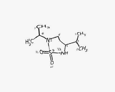 CC(C)C1CN(C(C)C)S(=O)(=O)N1